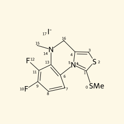 CSc1scc2[n+]1-c1ccc(F)c(F)c1N(C)C2.[I-]